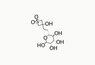 O=S1(=O)CC(O)(CC[C@H]2O[C@H](O)[C@@H](O)[C@@H](O)[C@@H]2O)C1